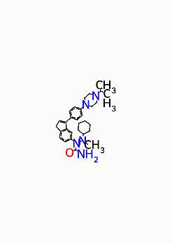 CC(C)N1CCN(c2ccc(C3=CCc4ccc(N(C(N)=O)N(C)C5CCCCC5)cc43)cc2)CC1